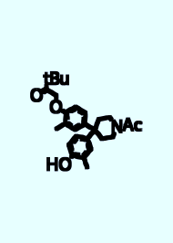 CC(=O)N1CCC(c2ccc(O)c(C)c2)(c2ccc(OCC(=O)C(C)(C)C)c(C)c2)CC1